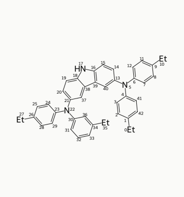 CCc1ccc(N(c2ccc(CC)cc2)c2ccc3[nH]c4ccc(N(c5ccc(CC)cc5)c5cccc(CC)c5)cc4c3c2)cc1